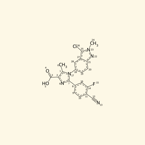 Cc1c(C(=O)O)nc(-c2ccc(C#N)c(F)c2)n1-c1ccc2nn(C)c(Cl)c2c1